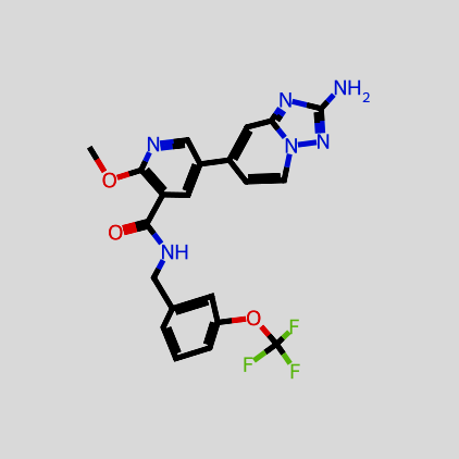 COc1ncc(-c2ccn3nc(N)nc3c2)cc1C(=O)NCc1cccc(OC(F)(F)F)c1